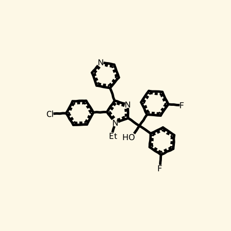 CCn1c(C(O)(c2cccc(F)c2)c2cccc(F)c2)nc(-c2ccncc2)c1-c1ccc(Cl)cc1